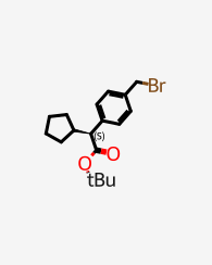 CC(C)(C)OC(=O)[C@H](c1ccc(CBr)cc1)C1CCCC1